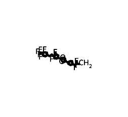 C=C/C(F)=C(\F)c1ccc(C2COC(c3cc(F)c(CCc4cc(F)c(C(F)(F)F)c(F)c4)c(F)c3)OC2)cc1